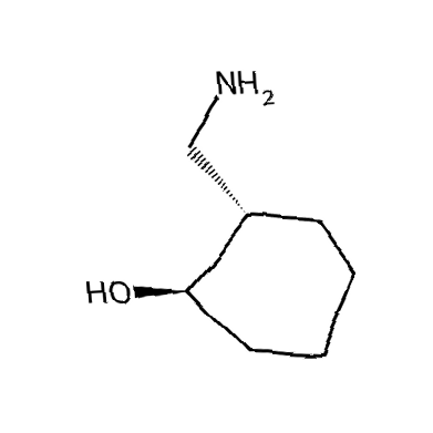 NC[C@@H]1CCCC[C@H]1O